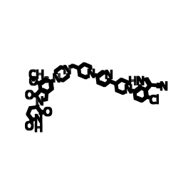 COc1cc(N2CCN(CC3CCN(c4ccc(C5CCN(c6ccc(Cl)c7c(C#N)c[nH]c67)CC5)nc4)CC3)CC2)cc2c1C(=O)N(C1CCC(=O)NC1=O)C2